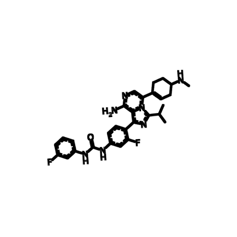 CNC1CC=C(c2cnc(N)c3c(-c4ccc(NC(=O)Nc5cccc(F)c5)cc4F)nc(C(C)C)n23)CC1